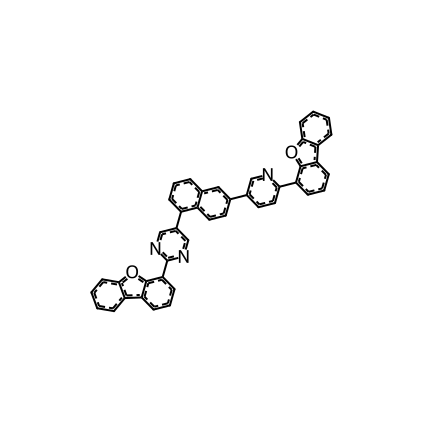 c1cc(-c2cnc(-c3cccc4c3oc3ccccc34)nc2)c2ccc(-c3ccc(-c4cccc5c4oc4ccccc45)nc3)cc2c1